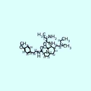 CC[C@H](N)C(=O)NC1C(=O)N2C(CC[C@@H]1CCN(C)CC)CC[C@H]2C(=O)NCCc1ccc(OC)cc1